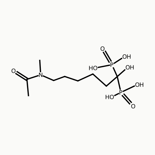 CC(=O)N(C)CCCCCC(O)(P(=O)(O)O)P(=O)(O)O